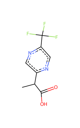 CC(C(=O)O)c1cnc(C(F)(F)F)cn1